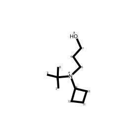 CC(C)(C)N(CCCO)C1CCC1